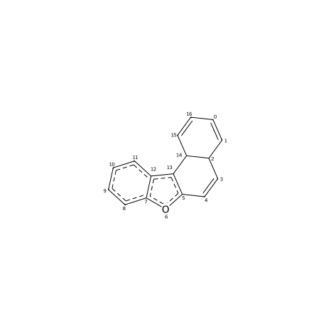 C1=CC2C=Cc3oc4ccccc4c3C2C=C1